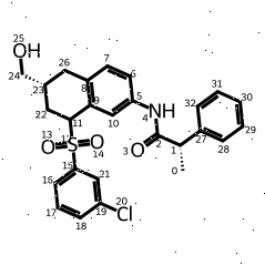 C[C@H](C(=O)Nc1ccc2c(c1)C(S(=O)(=O)c1cccc(Cl)c1)C[C@H](CO)C2)c1ccccc1